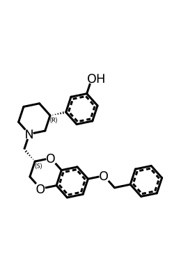 Oc1cccc([C@H]2CCCN(C[C@H]3COc4ccc(OCc5ccccc5)cc4O3)C2)c1